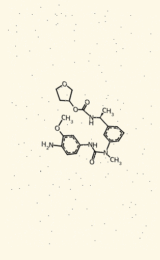 COc1cc(NC(=O)N(C)c2cccc([C@H](C)NC(=O)OC3CCOC3)c2)ccc1N